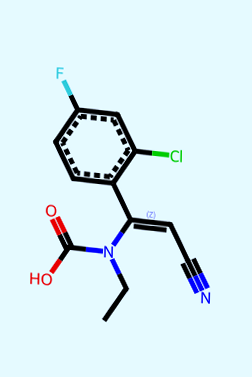 CCN(C(=O)O)/C(=C\C#N)c1ccc(F)cc1Cl